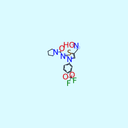 O=C(/N=c1\sc(/C=N\O)cn1-c1ccc2c(c1)OC(F)(F)O2)N1CCCC1